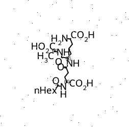 CCCCCCC(=O)N[C@H](CCC(=O)N[C@H](CCCC(N)C(=O)O)C(=O)N[C@H](C)C(=O)O)C(=O)O